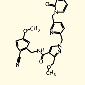 COCc1nn(Cc2ccc(Cn3ccccc3=O)cn2)cc1C(=O)NCc1cc(OC)ccc1C#N